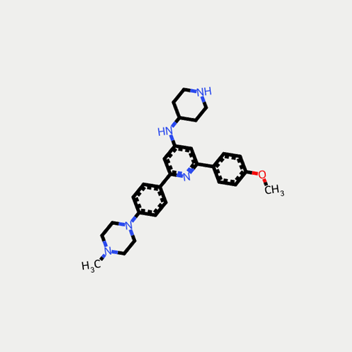 COc1ccc(-c2cc(NC3CCNCC3)cc(-c3ccc(N4CCN(C)CC4)cc3)n2)cc1